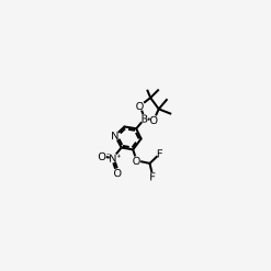 CC1(C)OB(c2cnc([N+](=O)[O-])c(OC(F)F)c2)OC1(C)C